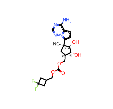 N#C[C@@]1(c2ccc3c(N)ncnn23)C[C@H](COC(=O)OCC2CC(F)(F)C2)[C@@H](O)[C@H]1O